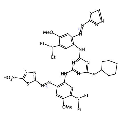 CCN(CC)c1cc(Nc2nc(Nc3cc(N(CC)CC)c(OC)cc3/N=N/c3nnc(S(=O)(=O)O)s3)nc(SC3CCCCC3)n2)c(/N=N/c2nncs2)cc1OC